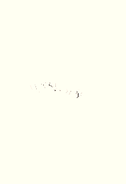 NOCC(=O)NCCOCCOCC(N)=O